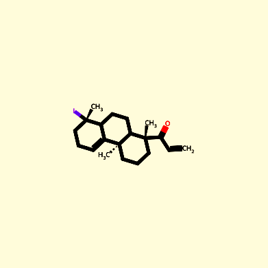 C=CC(=O)[C@]1(C)CCC[C@@]2(C)C3=CCC[C@](C)(I)C3CCC12